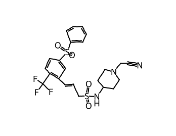 N#CCN1CCC(NS(=O)(=O)CC=Cc2cc(S(=O)(=O)c3ccccc3)ccc2C(F)(F)F)CC1